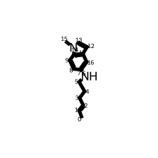 C/C=C/CCCNc1ccc2c(ccn2C)c1